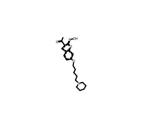 CC(=O)c1cc2ccc(OCCCCCN3CCCCC3)cc2oc1=NO